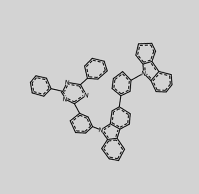 c1ccc(-c2nc(-c3ccccc3)nc(-c3cccc(-n4c5ccccc5c5ccc(-c6cccc(-n7c8ccccc8c8ccccc87)c6)cc54)c3)n2)cc1